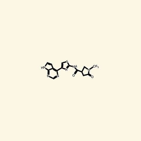 CN1CC(C(=O)Nc2nc(-c3ncnc4[nH]ccc34)cs2)CC1=O